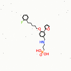 O=P(O)(O)CCCNCc1ccc(OCCCCCc2ccccc2F)c(-c2ccco2)c1